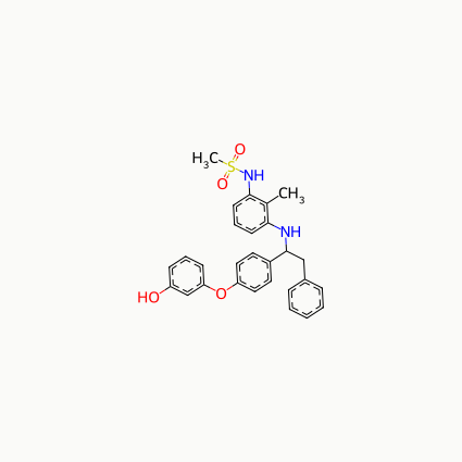 Cc1c(NC(Cc2ccccc2)c2ccc(Oc3cccc(O)c3)cc2)cccc1NS(C)(=O)=O